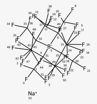 FC(F)(F)C([B-](C(C(F)(F)F)(C(F)(F)F)C(F)(F)F)(C(C(F)(F)F)(C(F)(F)F)C(F)(F)F)C(C(F)(F)F)(C(F)(F)F)C(F)(F)F)(C(F)(F)F)C(F)(F)F.[Na+]